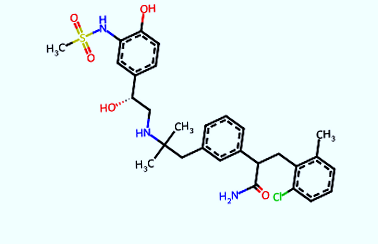 Cc1cccc(Cl)c1CC(C(N)=O)c1cccc(CC(C)(C)NC[C@H](O)c2ccc(O)c(NS(C)(=O)=O)c2)c1